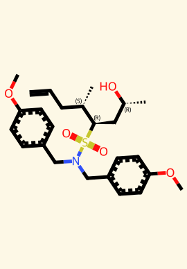 C=CC[C@H](C)[C@@H](C[C@@H](C)O)S(=O)(=O)N(Cc1ccc(OC)cc1)Cc1ccc(OC)cc1